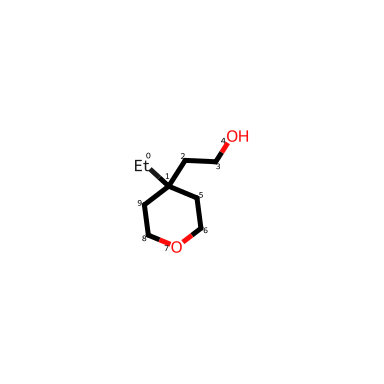 [CH2]CC1(CCO)CCOCC1